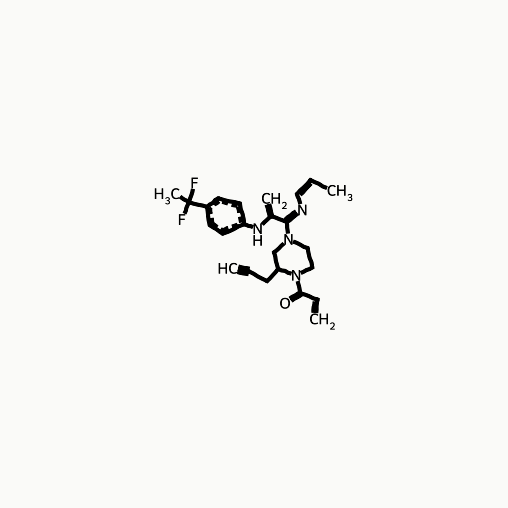 C#CCC1CN(/C(=N/C=C\C)C(=C)Nc2ccc(C(C)(F)F)cc2)CCN1C(=O)C=C